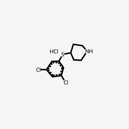 Cl.Clc1cc(Cl)cc(SC2CCNCC2)c1